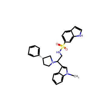 Cn1cc(C(CNS(=O)(=O)c2ccc3cc[nH]c3c2)N2CC[C@H](c3ccccc3)C2)c2ccccc21